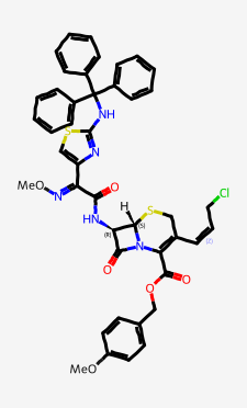 CON=C(C(=O)N[C@@H]1C(=O)N2C(C(=O)OCc3ccc(OC)cc3)=C(/C=C\CCl)CS[C@@H]12)c1csc(NC(c2ccccc2)(c2ccccc2)c2ccccc2)n1